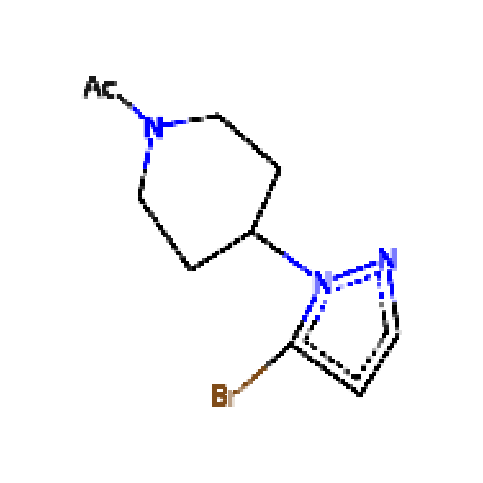 CC(=O)N1CCC(n2nccc2Br)CC1